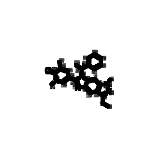 CCc1nn(C)c2cc3c(cc12)nc(-c1cc(C)c(=O)n(C)c1)n3C(C)c1ccccc1